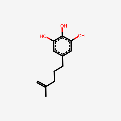 C=C(C)CCCc1cc(O)c(O)c(O)c1